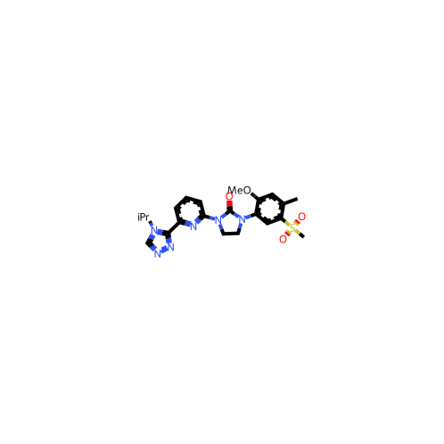 COc1cc(C)c(S(C)(=O)=O)cc1N1CCN(c2cccc(-c3nncn3C(C)C)n2)C1=O